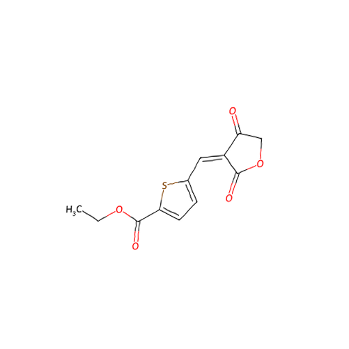 CCOC(=O)c1ccc(/C=C2/C(=O)COC2=O)s1